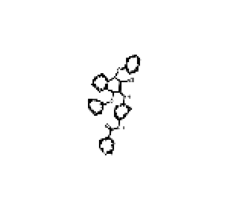 O=C(Nc1ccc(NC2=C(Cl)C(Oc3ccccc3)c3ccccc3C2Oc2ccccc2)cc1)c1ccncc1